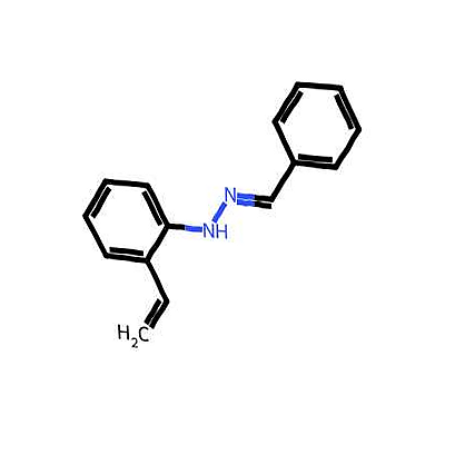 C=Cc1ccccc1NN=Cc1ccccc1